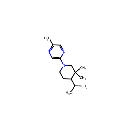 Cc1cnc(N2CCC(C(C)C)C(C)(C)C2)cn1